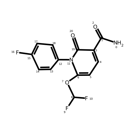 NC(=O)c1ccc(OC(F)F)n(-c2ccc(F)cc2)c1=O